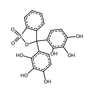 O=S1(=O)OC(c2ccc(O)c(O)c2O)(c2ccc(O)c(O)c2O)c2ccccc21